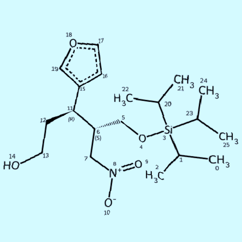 CC(C)[Si](OC[C@H](C[N+](=O)[O-])[C@@H](CCO)c1ccoc1)(C(C)C)C(C)C